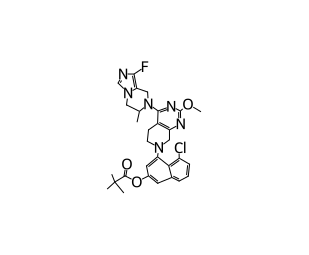 COc1nc2c(c(N3Cc4c(F)ncn4CC3C)n1)CCN(c1cc(OC(=O)C(C)(C)C)cc3cccc(Cl)c13)C2